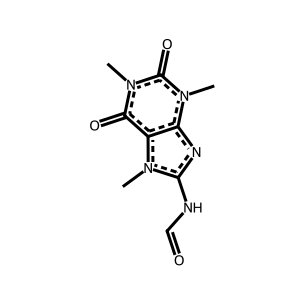 Cn1c(=O)c2c(nc(NC=O)n2C)n(C)c1=O